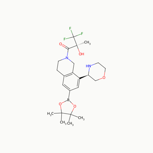 CC1(C)OB(c2cc3c(c([C@@H]4COCCN4)c2)CN(C(=O)[C@](C)(O)C(F)(F)F)CC3)OC1(C)C